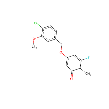 CC1C(=O)C=C(OCc2ccc(Cl)c(OC(F)(F)F)c2)C=C1F